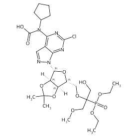 CCOP(=O)(OCC)C(CO)(COC)OC[C@H]1O[C@@H](n2ncc3c(N(C(=O)O)C4CCCC4)nc(Cl)nc32)[C@@H]2OC(C)(C)O[C@@H]21